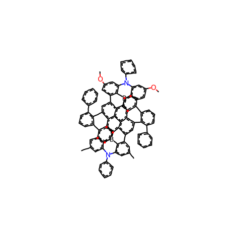 COc1ccc2c(c1)N(c1ccccc1)c1cc(OC)cc3c1B2c1cc2c(-c4c(-c5ccccc5)cccc4-c4ccccc4)cc4c5c(cc6c(-c7c(-c8ccccc8)cccc7-c7ccccc7)cc-3c1c6c25)B1c2ccc(C)cc2N(c2ccccc2)c2cc(C)cc-4c21